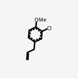 C=CCc1ccc(OC)c(Cl)c1